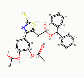 CC(=O)Oc1ccc(-c2nc(S)sc2CC(=O)OC(c2ccccc2)c2ccccc2)cc1OC(C)=O